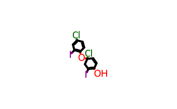 OC1=C(I)CC(Cl)(Oc2ccc(Cl)cc2I)C=C1